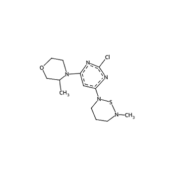 CC1COCCN1c1cc(N2CCCN(C)S2)nc(Cl)n1